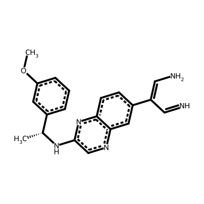 COc1cccc([C@@H](C)Nc2cnc3cc(/C(C=N)=C/N)ccc3n2)c1